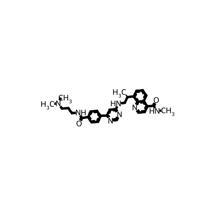 CNC(=O)c1ccnc2c([C@H](C)CNc3cc(-c4ccc(C(=O)NCCCN(C)C)cc4)ncn3)cccc12